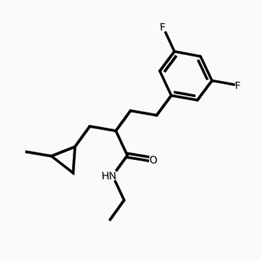 CCNC(=O)C(CCc1cc(F)cc(F)c1)CC1CC1C